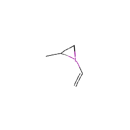 C=CI1CC1C